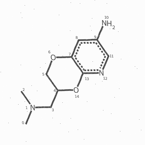 CN(C)CC1COc2cc(N)cnc2O1